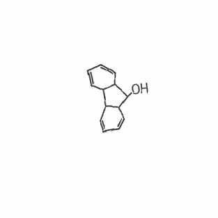 OC1C2C=CC=CC2C2C=CC=CC12